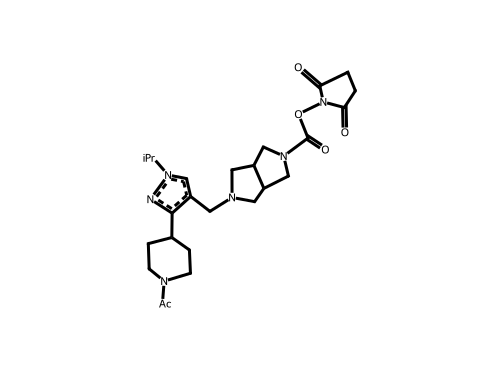 CC(=O)N1CCC(c2nn(C(C)C)cc2CN2CC3CN(C(=O)ON4C(=O)CCC4=O)CC3C2)CC1